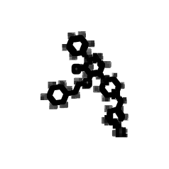 CCn1cc(CN2CCN(c3cnn(-c4ccccc4)c(=O)c3OCCC3CCCCC3)CC2)cn1